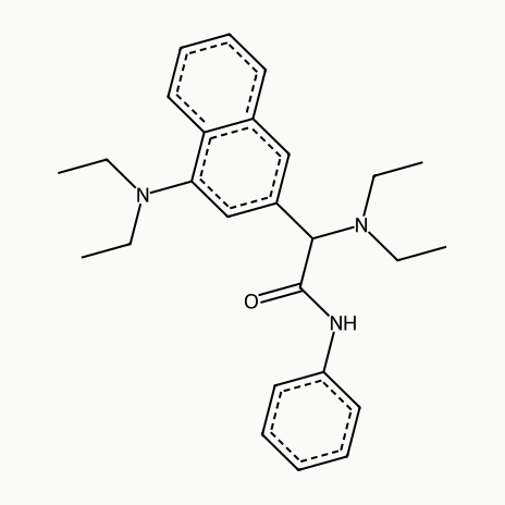 CCN(CC)c1cc(C(C(=O)Nc2ccccc2)N(CC)CC)cc2ccccc12